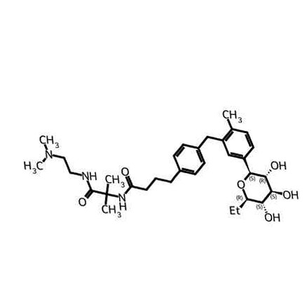 CC[C@H]1O[C@@H](c2ccc(C)c(Cc3ccc(CCCC(=O)NC(C)(C)C(=O)NCCN(C)C)cc3)c2)[C@H](O)[C@@H](O)[C@@H]1O